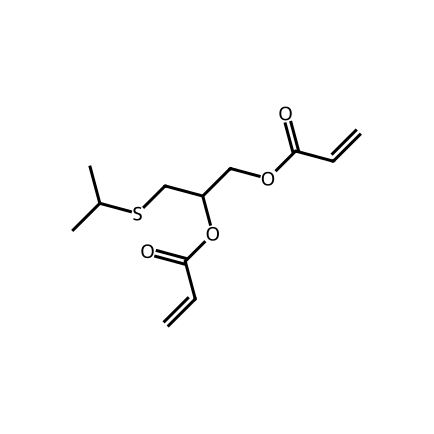 C=CC(=O)OCC(CSC(C)C)OC(=O)C=C